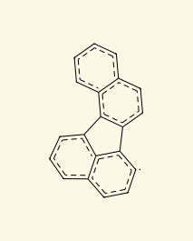 [c]1ccc2cccc3c2c1-c1ccc2ccccc2c1-3